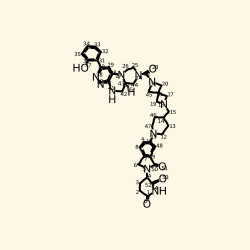 O=C1CCC(N2Cc3ccc(N4CCC(CN5CC6(C5)CN(C(=O)N5CCN7c8cc(-c9ccccc9O)nnc8NC[C@H]7C5)C6)CC4)cc3C2=O)C(=O)N1